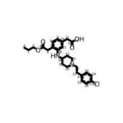 CCCOC(=O)Cc1ccc(CC(=O)O)cc1NC1CCN(CCc2ccc(Cl)cc2)CC1